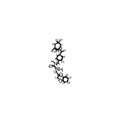 C=C(c1ccc(CN(C)C(=O)NCC2COc3ccccc3O2)cc1)N1CC2(C)CC1CC(C)(C)C2